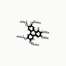 CCCCCCOc1cc2c3cc(OCCCCCC)c(OCCCCCC)cc3c3c(F)c(OC)c(OC)cc3c2cc1OCCCCCC